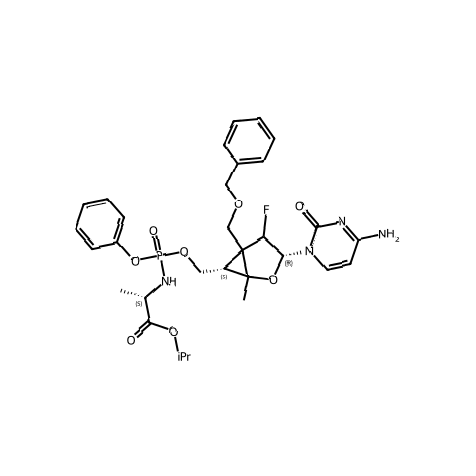 CC(C)OC(=O)[C@H](C)NP(=O)(OC[C@H]1C2(C)O[C@@H](n3ccc(N)nc3=O)C(F)C12COCc1ccccc1)Oc1ccccc1